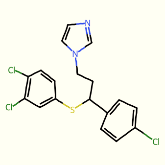 Clc1ccc(C(CCn2ccnc2)Sc2ccc(Cl)c(Cl)c2)cc1